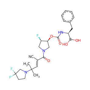 CC(C)(/C=C(\C#N)C(=O)N1C[C@@H](F)[C@@H](OC(=O)N[C@@H](Cc2ccccc2)B(O)O)C1)N1CCC(F)(F)C1